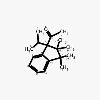 CC(=O)C1(C(C)C)c2ccccc2C(C)(C)C1(C)C